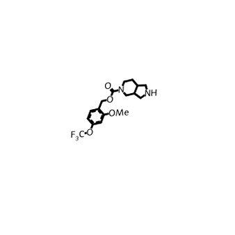 COc1cc(OC(F)(F)F)ccc1COC(=O)N1CCC2CNCC2C1